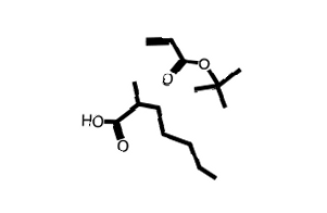 C=CC(=O)OC(C)(C)C.CCCCCC(C)C(=O)O